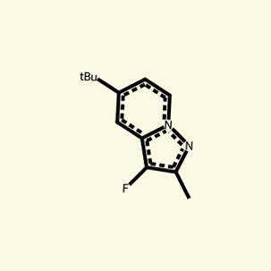 Cc1nn2ccc(C(C)(C)C)cc2c1F